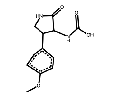 COc1ccc(C2CNC(=O)C2NC(=O)O)cc1